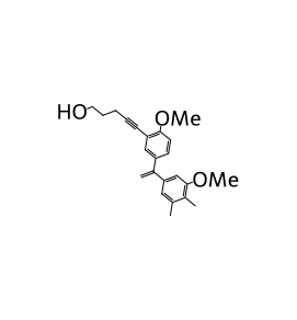 C=C(c1ccc(OC)c(C#CCCCO)c1)c1cc(C)c(C)c(OC)c1